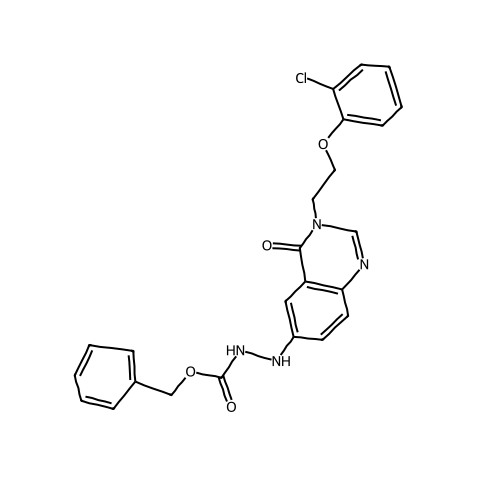 O=C(NNc1ccc2ncn(CCOc3ccccc3Cl)c(=O)c2c1)OCc1ccccc1